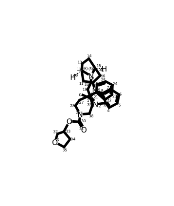 Cc1nc2ccccc2n1C1C[C@H]2CC[C@@H](C1)N2CCC1(c2ccccc2)CCN(C(=O)OC2CCOC2)CC1